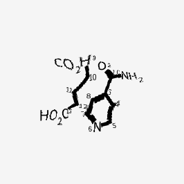 NC(=O)c1ccncc1.O=C(O)CCCC(=O)O